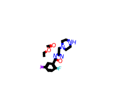 CCOC=O.Fc1ccc(I)cc1-c1nc(CN2CCNCC2)no1